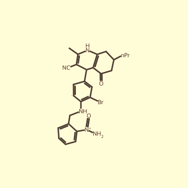 CCCC1CC(=O)C2=C(C1)NC(C)=C(C#N)C2c1c[c]c(NCc2ccccc2[N+](N)=O)c(Br)c1